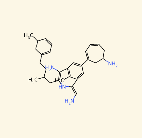 Cc1c2cc(C3=CC=CCC(N)C3)cc1/C(=C/N)NC(CC(C)CCC1=CC=CC(C)C1)=C2N